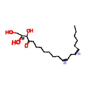 CCCCC/C=C\C/C=C\CCCCCCCC(=O)C(O)[C@@H](O)CO